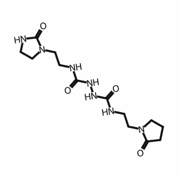 O=C(NCCN1CCCC1=O)NNC(=O)NCCN1CCNC1=O